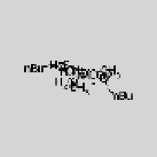 CCCCC#CCCCCOC(=O)C(C)(C)CCCCCC(CCCCCC(C)(C)C(=O)OCCCCC#CCCCC)OC(=O)CCCN(C)C